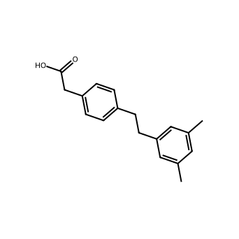 Cc1cc(C)cc(CCc2ccc(CC(=O)O)cc2)c1